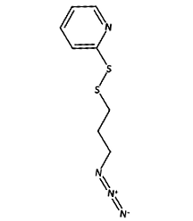 [N-]=[N+]=NCCCSSc1ccccn1